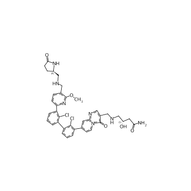 COc1nc(-c2cccc(-c3cccc(-c4ccn5c(=O)c(CNC[C@@H](O)CC(N)=O)cnc5c4)c3Cl)c2Cl)ccc1CNC[C@H]1CCC(=O)N1